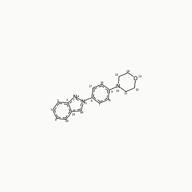 c1ccc2nn(-c3ccc(N4CCOCC4)cc3)cc2c1